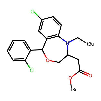 CC(C)(C)CN1c2ccc(Cl)cc2C(c2ccccc2Cl)OCC1CC(=O)OC(C)(C)C